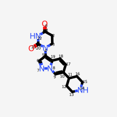 O=C1CCN(c2cnn3cc(C4CCNCC4)ccc23)C(=O)N1